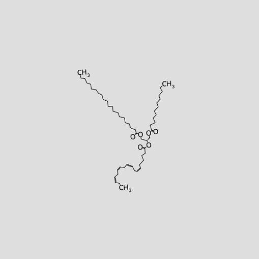 CC/C=C\C/C=C\C/C=C\C/C=C\CCCCC(=O)O[C@H](COC(=O)CCCCCCCCCCCC)COC(=O)CCCCCCCCCCCCCCCCCCCCC